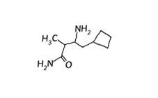 CC(C(N)=O)C(N)CC1CCC1